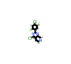 Fc1cc(-c2nc(Cl)c3ccncc3n2)c(F)cc1Cl